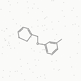 Cc1cccc(OCC2=CC=CCC2)c1